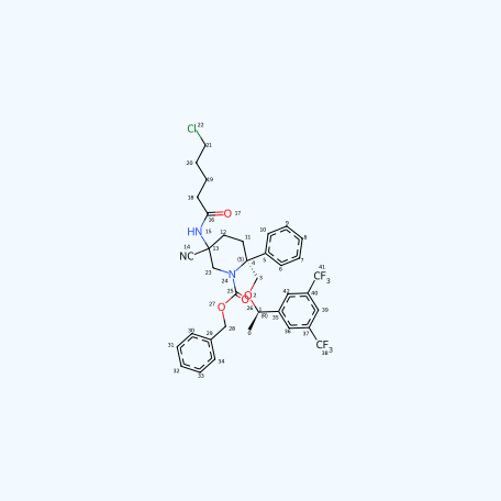 C[C@@H](OC[C@@]1(c2ccccc2)CCC(C#N)(NC(=O)CCCCCl)CN1C(=O)OCc1ccccc1)c1cc(C(F)(F)F)cc(C(F)(F)F)c1